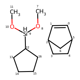 C1=CC2CCC1C2.CO[SiH](OC)C1CCCC1